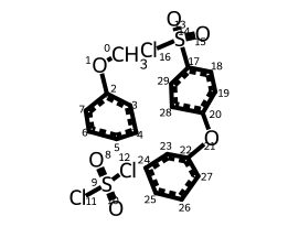 COc1ccccc1.O=S(=O)(Cl)Cl.O=S(=O)(Cl)c1ccc(Oc2ccccc2)cc1